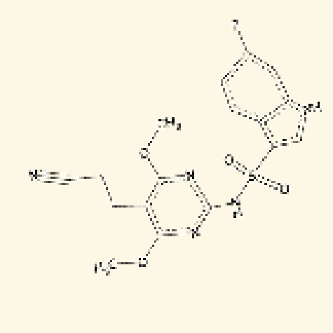 COc1nc(NS(=O)(=O)c2c[nH]c3cc(F)ccc23)nc(OC)c1CCC#N